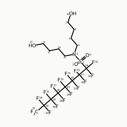 O=S(=O)(N(CCCCO)CCCCO)C(F)(F)C(F)(F)C(F)(F)C(F)(F)C(F)(F)C(F)(F)C(F)(F)C(F)(F)F